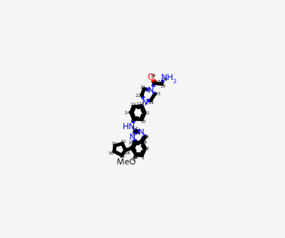 COc1ccc2cnc(Nc3ccc(N4CCN(C(=O)CN)CC4)cc3)nc2c1C1CCCC1